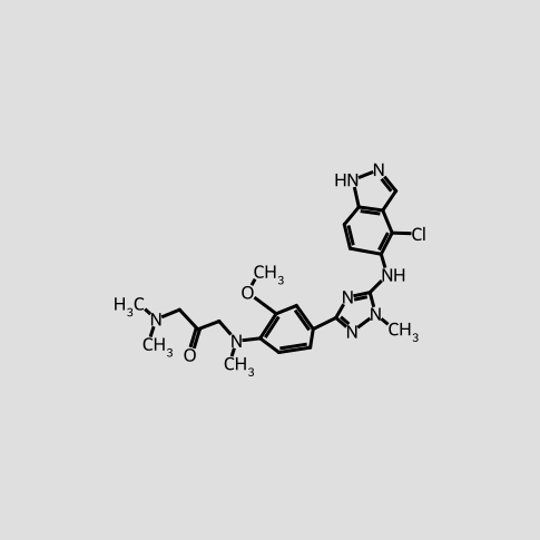 COc1cc(-c2nc(Nc3ccc4[nH]ncc4c3Cl)n(C)n2)ccc1N(C)CC(=O)CN(C)C